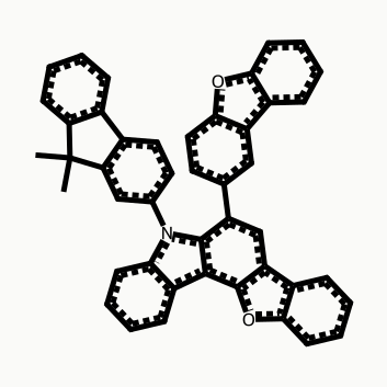 CC1(C)c2ccccc2-c2ccc(-n3c4ccccc4c4c5oc6ccccc6c5cc(-c5ccc6oc7ccccc7c6c5)c43)cc21